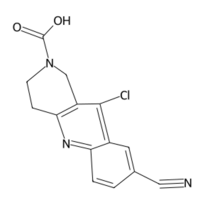 N#Cc1ccc2nc3c(c(Cl)c2c1)CN(C(=O)O)CC3